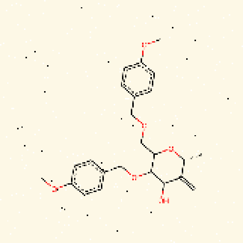 C=C1C(O)C(OCc2ccc(OC)cc2)C(COCc2ccc(OC)cc2)O[C@@H]1C